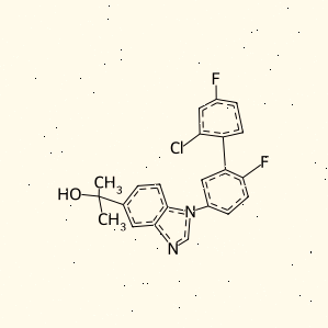 CC(C)(O)c1ccc2c(c1)ncn2-c1ccc(F)c(-c2ccc(F)cc2Cl)c1